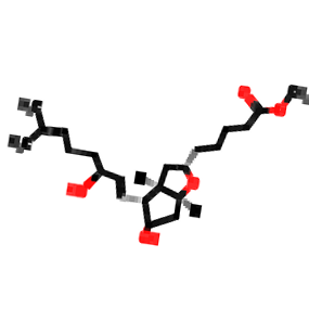 COC(=O)CCCC[C@H]1C[C@@H]2[C@@H](C=C[C@@H](O)CCC=C(C)C)[C@H](O)C[C@@H]2O1